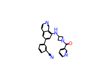 N#Cc1cccc(-c2cc(NC3CN(C(=O)c4cccnc4)C3)c3cnccc3c2)c1